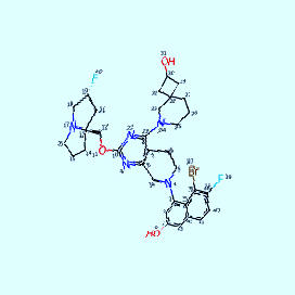 Oc1cc(N2CCc3c(nc(OC[C@@]45CCCN4C[C@H](F)C5)nc3N3CCCC4(CC(O)C4)C3)C2)c2c(Br)c(F)ccc2c1